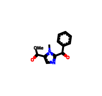 COC(=O)c1cnc(C(=O)c2ccccc2)n1C